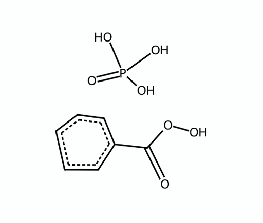 O=C(OO)c1ccccc1.O=P(O)(O)O